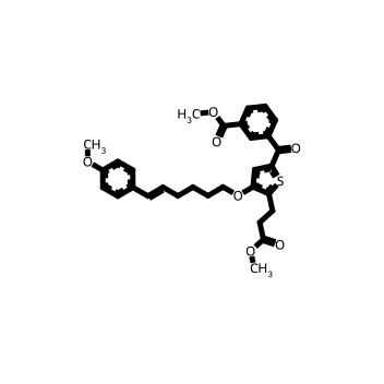 COC(=O)CCc1sc(C(=O)c2cccc(C(=O)OC)c2)cc1OCCCCC=Cc1ccc(OC)cc1